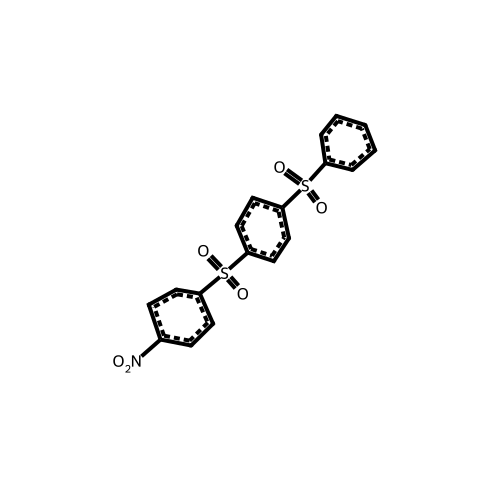 O=[N+]([O-])c1ccc(S(=O)(=O)c2ccc(S(=O)(=O)c3ccccc3)cc2)cc1